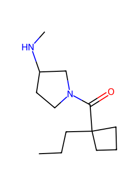 CCCC1(C(=O)N2CCC(NC)C2)CCC1